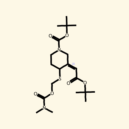 CN(C)C(=O)OCSC1CCN(C(=O)OC(C)(C)C)C/C1=C/C(=O)OC(C)(C)C